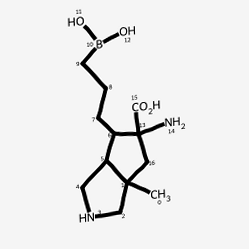 CC12CNCC1C(CCCB(O)O)C(N)(C(=O)O)C2